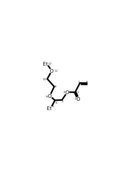 C=CC(=O)OCC(CC)OCCOCC